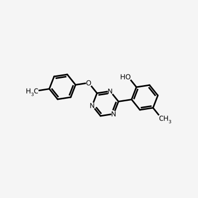 Cc1ccc(Oc2ncnc(-c3cc(C)ccc3O)n2)cc1